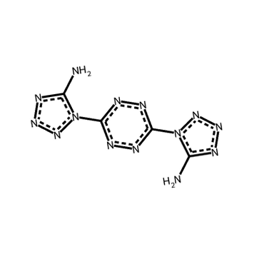 Nc1nnnn1-c1nnc(-n2nnnc2N)nn1